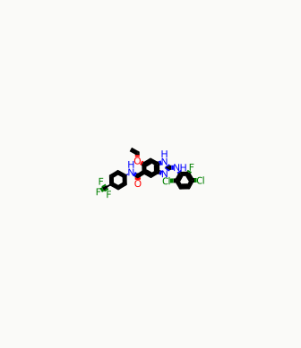 CCOc1cc2[nH]c(Nc3c(Cl)ccc(Cl)c3F)nc2cc1C(=O)N[C@H]1CC[C@H](C(F)(F)F)CC1